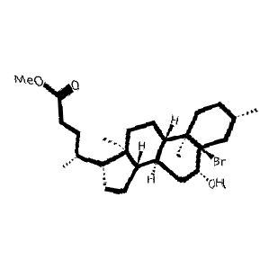 COC(=O)CC[C@@H](C)[C@H]1CC[C@H]2[C@@H]3C[C@@H](O)[C@@]4(Br)C[C@@H](C)CC[C@]4(C)[C@H]3CC[C@]12C